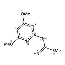 COc1cc(OC)nc(NC(=N)SC)n1